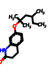 CCC(C)CC(C)(C)Oc1ccc2c(c1)NC(=O)CC2